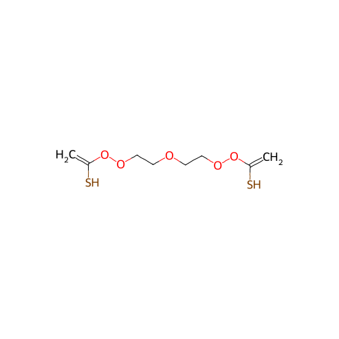 C=C(S)OOCCOCCOOC(=C)S